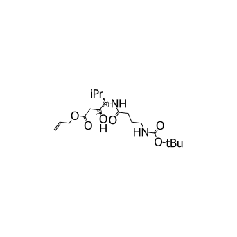 C=CCOC(=O)C[C@H](O)[C@H](NC(=O)CCCNC(=O)OC(C)(C)C)C(C)C